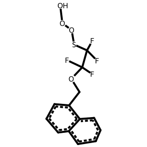 OOOSC(F)(F)C(F)(F)OCc1cccc2ccccc12